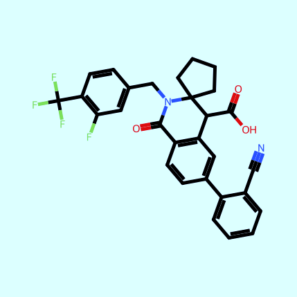 N#Cc1ccccc1-c1ccc2c(c1)C(C(=O)O)C1(CCCC1)N(Cc1ccc(C(F)(F)F)c(F)c1)C2=O